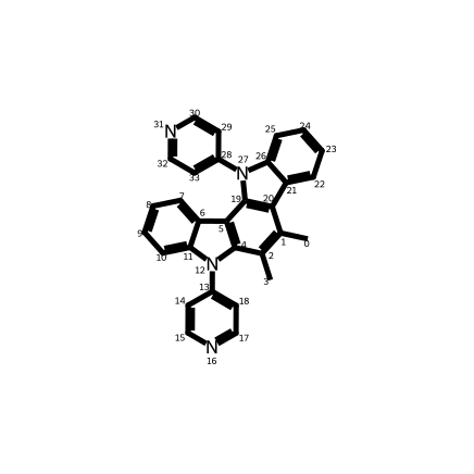 Cc1c(C)c2c(c3ccccc3n2-c2ccncc2)c2c1c1ccccc1n2-c1ccncc1